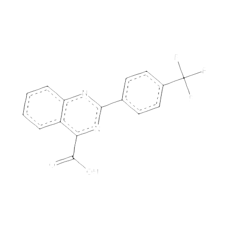 O=C(O)c1nc(-c2ccc(C(F)(F)F)cc2)nc2ccccc12